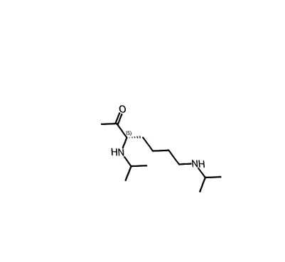 CC(=O)[C@H](CCCCNC(C)C)NC(C)C